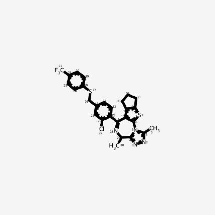 Cc1nnc2n1-c1sc3c(c1C(c1ccc(CSc4ccc(C(F)(F)F)cc4)cc1Cl)=NC2C)CCC3